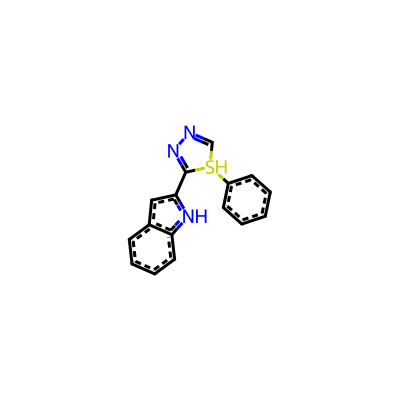 C1=NN=C(c2cc3ccccc3[nH]2)[SH]1c1ccccc1